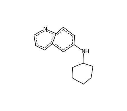 c1cnc2ccc(NC3CCCCC3)cc2c1